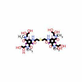 CN(CC(O)CO)C(=O)c1c(I)c(NC(=O)CCSCCC(=O)Nc2c(I)c(C(=O)N(C)CC(O)CO)c(I)c(C(=O)N(C)CC(O)CO)c2I)c(I)c(C(=O)N(C)CC(O)CO)c1I